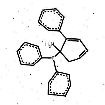 NC1(P(c2ccccc2)c2ccccc2)CC=CC=C1c1ccccc1